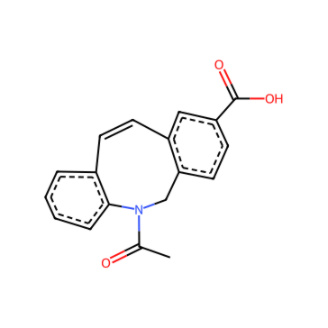 CC(=O)N1Cc2ccc(C(=O)O)cc2C=Cc2ccccc21